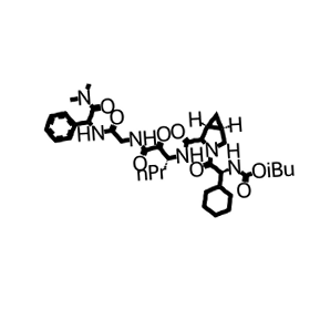 CCC[C@@H](NC(=O)C1[C@H]2C[C@H]2CN1C(=O)[C@@H](NC(=O)OCC(C)C)C1CCCCC1)C(=O)C(=O)NCC(=O)NC(C(=O)N(C)C)c1ccccc1